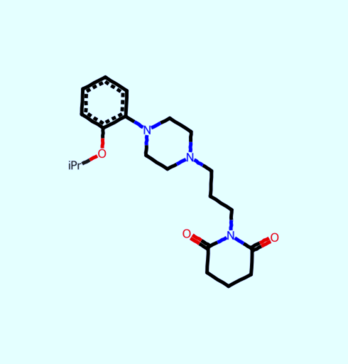 CC(C)Oc1ccccc1N1CCN(CCCN2C(=O)CCCC2=O)CC1